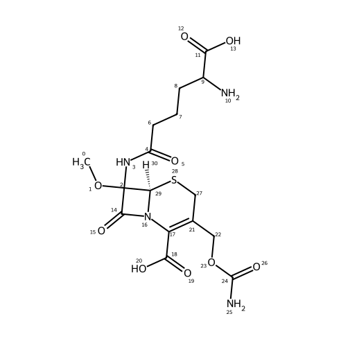 COC1(NC(=O)CCCC(N)C(=O)O)C(=O)N2C(C(=O)O)=C(COC(N)=O)CS[C@@H]21